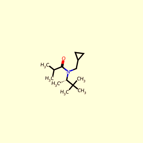 CC(C)C(=O)N(CC1CC1)[C@@H](C)C(C)(C)C